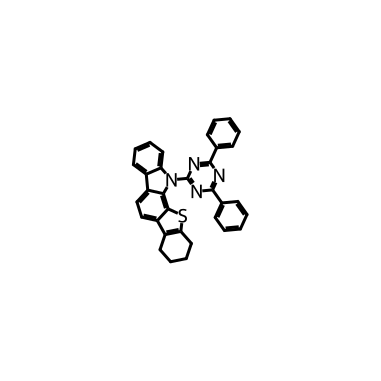 c1ccc(-c2nc(-c3ccccc3)nc(-n3c4ccccc4c4ccc5c6c(sc5c43)CCCC6)n2)cc1